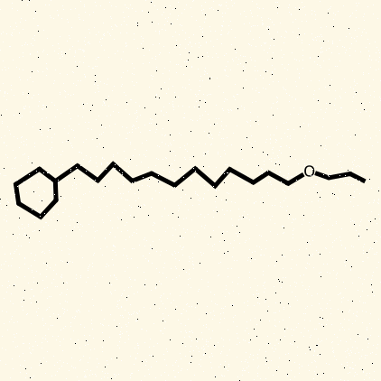 CCCOCCCCCCCCCCCCC1CCCCC1